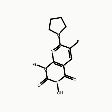 CCn1c(=O)n(O)c(=O)c2cc(F)c(N3CCCC3)nc21